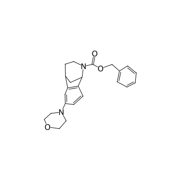 O=C(OCc1ccccc1)N1CCC2CC1c1ccc(N3CCOCC3)cc12